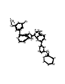 COc1cc(F)cc(-c2nccc3[nH]c(-c4n[nH]c5ccc(-c6cncc(OC7CCCCC7)c6)nc45)nc23)c1